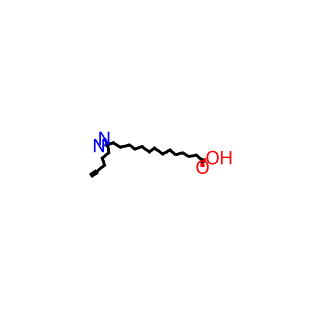 C#CCCCC1(CCCCCCCCCCCCCC(=O)O)N=N1